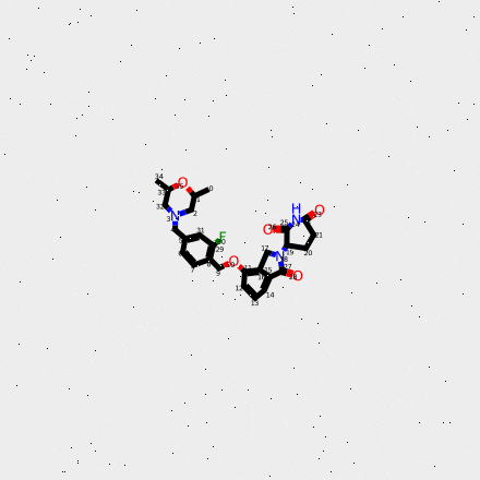 CC1CN(Cc2ccc(COc3cccc4c3CN(C3CCC(=O)NC3=O)C4=O)c(F)c2)CC(C)O1